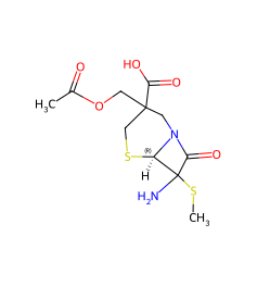 CSC1(N)C(=O)N2CC(COC(C)=O)(C(=O)O)CS[C@@H]21